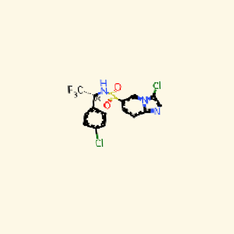 O=S(=O)(N[C@H](c1ccc(Cl)cc1)C(F)(F)F)c1ccc2ncc(Cl)n2c1